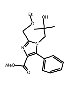 CCOCc1nc(C(=O)OC)c(-c2ccccc2)n1CC(C)(C)O